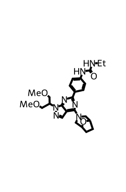 CCNC(=O)Nc1ccc(-c2nc(N3CC4CCC(C3)O4)c3cnn(C(COC)COC)c3n2)cc1